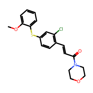 COc1ccccc1Sc1ccc(/C=C/C(=O)N2CCOCC2)c(Cl)c1